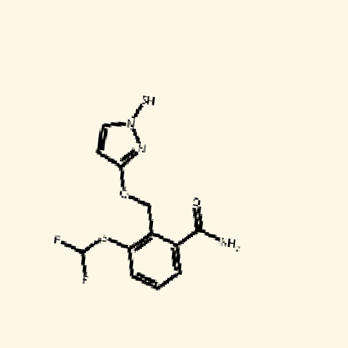 NC(=O)c1cccc(SC(F)F)c1COc1ccn(S)n1